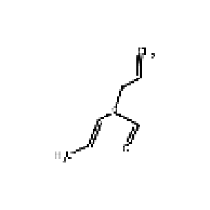 C=CCN([C]=O)C=CC